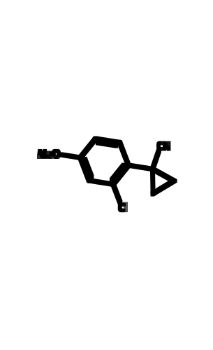 COc1ccc(C2(C#N)CC2)c(Cl)c1